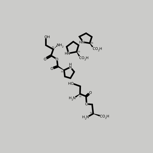 N[C@@H](CO)C(=O)OC(=O)[C@@H]1CCCN1.N[C@@H](COC(=O)[C@@H](N)CO)C(=O)O.O=C(O)[C@@H]1CCCN1.O=C(O)[C@@H]1CCCN1